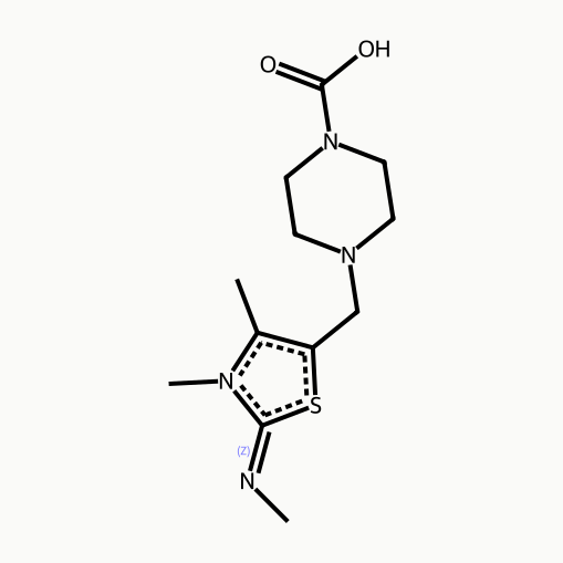 C/N=c1\sc(CN2CCN(C(=O)O)CC2)c(C)n1C